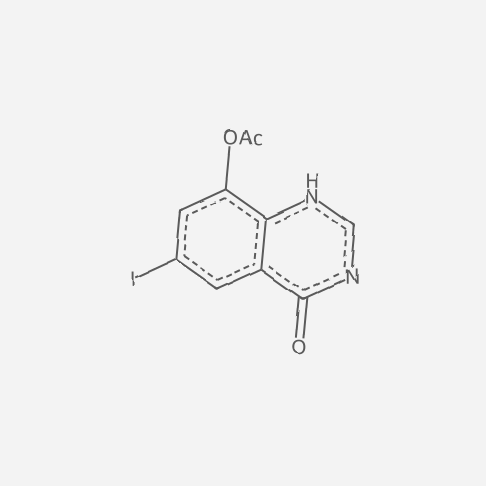 CC(=O)Oc1cc(I)cc2c(=O)nc[nH]c12